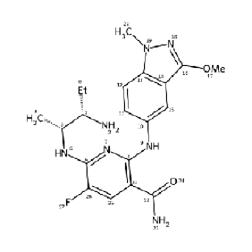 CC[C@H](N)[C@@H](C)Nc1nc(Nc2ccc3c(c2)c(OC)nn3C)c(C(N)=O)cc1F